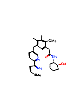 CN/C=C\C(=N)c1ccc(Cc2cc(CC(=O)N[C@H]3CCCC[C@@H]3O)c(OC)c(C)c2C)cn1